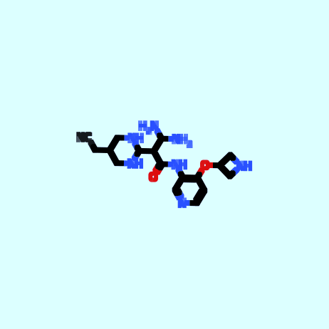 N#CCC1CNC(C(C(=O)Nc2cnccc2OC2CNC2)C(N)N)NC1